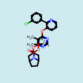 Cc1c(Oc2cccnc2-c2cccc(Cl)c2)ncnc1OC1CC2CCC(C1)N2C(=O)OC(C)(C)C